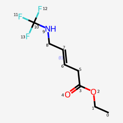 CCOC(=O)C/C=C/CNC(F)(F)F